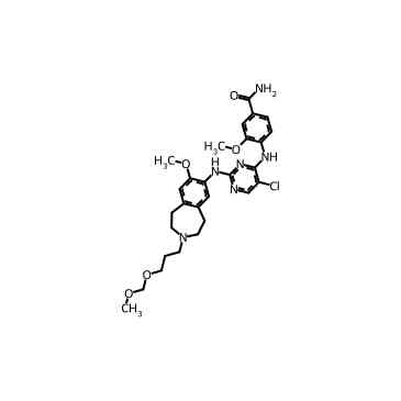 COCOCCCN1CCc2cc(Nc3ncc(Cl)c(Nc4ccc(C(N)=O)cc4OC)n3)c(OC)cc2CC1